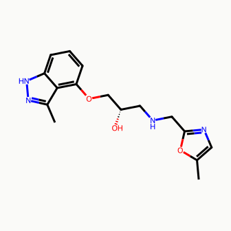 Cc1cnc(CNC[C@H](O)COc2cccc3[nH]nc(C)c23)o1